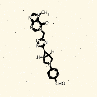 Cn1cnc2ncn(Cc3nc([C@H]4[C@@H]5CN(c6ccc(C=O)cc6)C[C@@H]54)no3)c(=O)c21